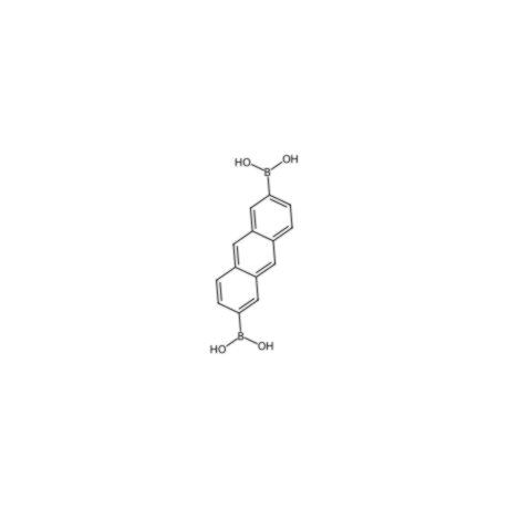 OB(O)c1ccc2cc3cc(B(O)O)ccc3cc2c1